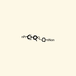 CCCCCCCCC[C@H]1CC[C@H](COc2ccc(-c3ncc(CCC)cn3)cc2C)CC1